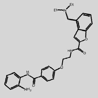 CCN(CC)Cc1cccc2oc(C(=O)NCCOc3ccc(C(=O)Nc4ccccc4N)cc3)cc12